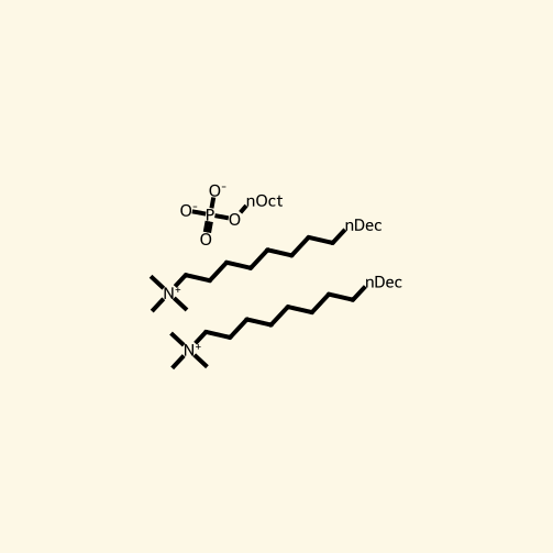 CCCCCCCCCCCCCCCCCC[N+](C)(C)C.CCCCCCCCCCCCCCCCCC[N+](C)(C)C.CCCCCCCCOP(=O)([O-])[O-]